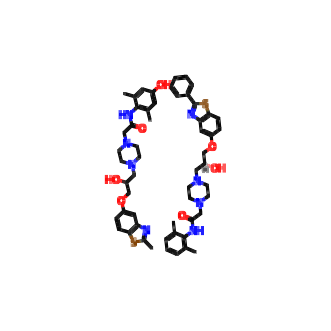 Cc1cccc(C)c1NC(=O)CN1CCN(C[C@@H](O)COc2ccc3sc(-c4ccccc4)nc3c2)CC1.Cc1nc2cc(OCC(O)CN3CCN(CC(=O)Nc4c(C)cc(O)cc4C)CC3)ccc2s1